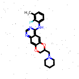 Cc1cccc(Nc2ncnc3cc4c(cc23)OC(CN2CCCCC2)CO4)c1F